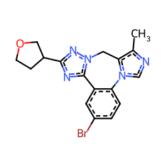 Cc1ncn2c1Cn1nc(C3CCOC3)nc1-c1cc(Br)ccc1-2